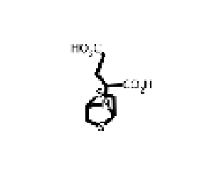 O=C(O)CCC(C(=O)O)N1C2CSC1CS2